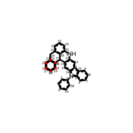 c1ccc(-n2c3ccccc3c3cc4c(cc32)C23c5ccccc5C(c5ccccc52)c2cccc(c23)N4)cc1